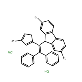 CCc1ccc2c(c1)[CH]([Zr]([C]1=CC(C(C)C)=CC1)=[C](c1ccccc1)c1ccccc1)c1cc(CC)ccc1-2.Cl.Cl